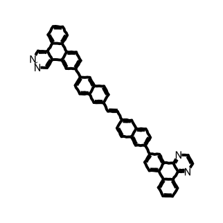 C(=C\c1ccc2cc(-c3ccc4c5ccccc5c5nccnc5c4c3)ccc2c1)/c1ccc2cc(-c3ccc4c5ccccc5c5cnncc5c4c3)ccc2c1